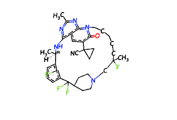 Cc1nc2c3cc(C4(C#N)CC4)c(=O)n(c3n1)CCCCCC(C)(F)CN1CCC(CC1)C(F)(F)c1cccc(c1F)[C@@H](C)N2